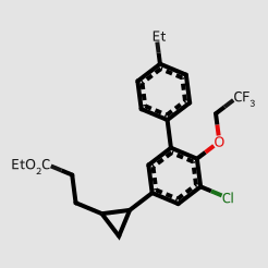 CCOC(=O)CCC1CC1c1cc(Cl)c(OCC(F)(F)F)c(-c2ccc(CC)cc2)c1